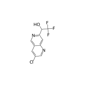 OC(c1cc2ncc(Cl)cc2cn1)C(F)(F)F